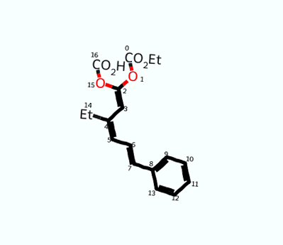 CCOC(=O)OC(=CC(=CC=Cc1ccccc1)CC)OC(=O)O